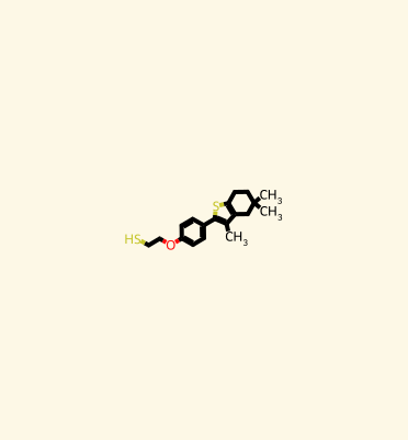 Cc1c(-c2ccc(OCCS)cc2)sc2c1CC(C)(C)CC2